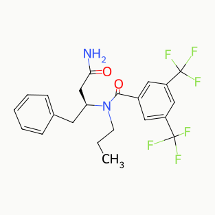 CCCN(C(=O)c1cc(C(F)(F)F)cc(C(F)(F)F)c1)[C@H](CC(N)=O)Cc1ccccc1